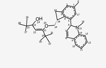 Cc1cc2c(c(C3C=Cc4ccccc4N3C)c1)[C@H](CO/C(=C\C(O)C(C)(C)C)C(C)(C)C)C2